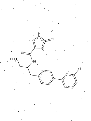 O=C(O)CC(Cc1ccc(-c2cccc(Cl)c2)cc1)NC(=O)c1c[nH]c(=O)s1